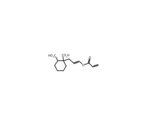 C=CC(=O)OC=CCC1(C(=O)O)CCCCC1C(=O)O